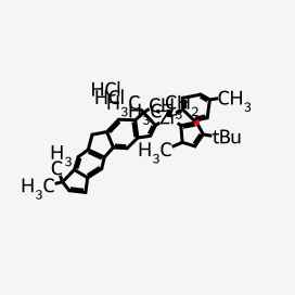 Cl.Cl.[CH2]=[Zr]([CH3])([C]1=CC(C(C)(C)C)=CC1C)([C]1=Cc2cc3c(cc2C1(C)C)Cc1cc2c(cc1-3)C=CC2(C)C)[c]1ccc(C)cc1